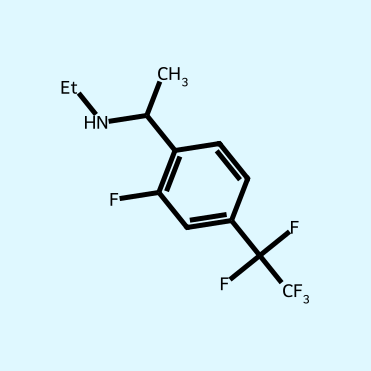 CCNC(C)c1ccc(C(F)(F)C(F)(F)F)cc1F